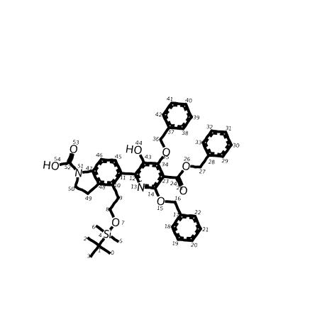 CC(C)(C)[Si](C)(C)OCCc1c(-c2nc(OCc3ccccc3)c(C(=O)OCc3ccccc3)c(OCc3ccccc3)c2O)ccc2c1CCN2C(=O)O